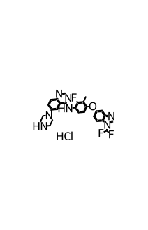 Cc1c(Oc2ccc3c(c2)ncn3C(F)F)ccc(Nc2ncnc3ccc(N4CCNCC4)cc23)c1F.Cl